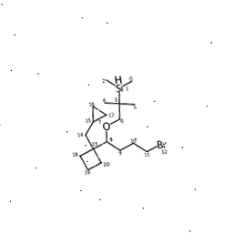 C[SiH](C)C(C)(C)COC(CCCBr)C1(CC2CC2)CCC1